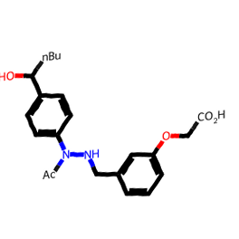 CCCCC(O)c1ccc(N(NCc2cccc(OCC(=O)O)c2)C(C)=O)cc1